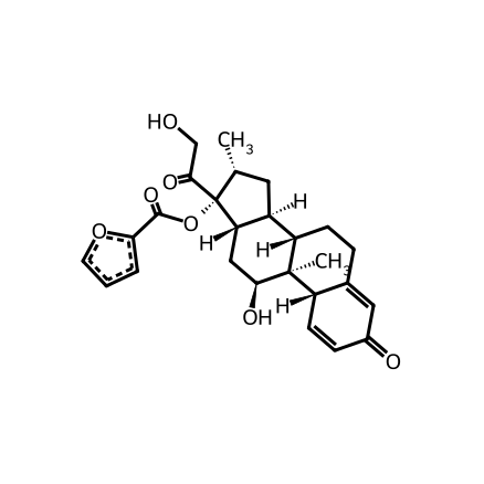 C[C@@H]1C[C@@H]2[C@H](C[C@H](O)[C@]3(C)[C@H]4C=CC(=O)C=C4CC[C@@H]23)[C@@]1(OC(=O)c1ccco1)C(=O)CO